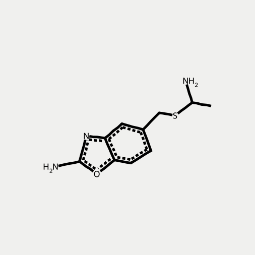 CC(N)SCc1ccc2oc(N)nc2c1